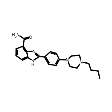 CCCCN1CCN(c2ccc(-c3nc4c(C(N)=O)cccc4[nH]3)cc2)CC1